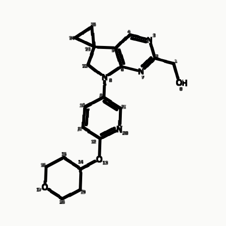 OCc1ncc2c(n1)N(c1ccc(OC3CCOCC3)nc1)CC21CC1